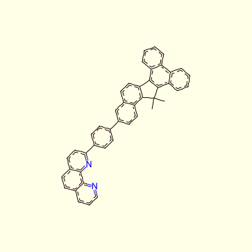 CC1(C)c2c(ccc3cc(-c4ccc(-c5ccc6ccc7cccnc7c6n5)cc4)ccc23)-c2c1c1ccccc1c1ccccc21